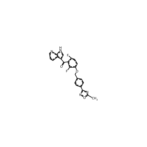 Cc1nc(-c2ccc(COc3ccc(F)c(C(=O)c4c[nH]c5ncccc45)c3F)cc2)no1